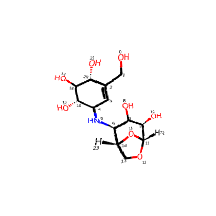 OCC1=CC(N[C@H]2C(O)[C@@H](O)[C@@H]3OC[C@H]2O3)[C@H](O)C(O)[C@@H]1O